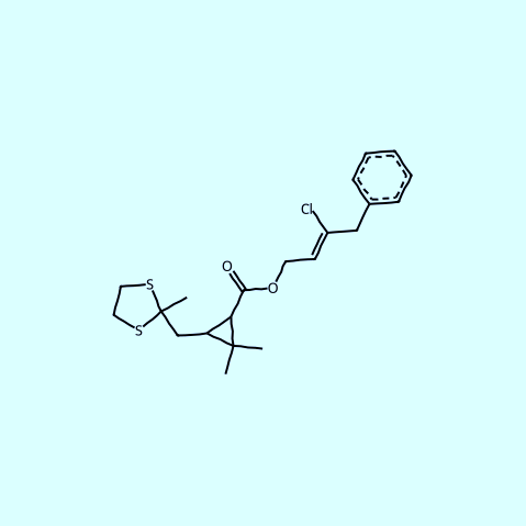 CC1(CC2C(C(=O)OCC=C(Cl)Cc3ccccc3)C2(C)C)SCCS1